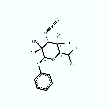 CC(=O)C(O)[C@H]1O[C@@H](Sc2ccccc2)[C@@](O)(C(C)=O)[C@H](N=[N+]=[N-])[C@]1(O)C(C)=O